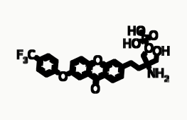 NC(CO)(CCc1ccc2c(=O)c3cc(Oc4ccc(C(F)(F)F)cc4)ccc3oc2c1)COP(=O)(O)O